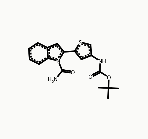 CC(C)(C)OC(=O)Nc1csc(-c2cc3ccccc3n2C(N)=O)c1